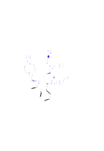 CC(C)C[C@H](NC(=O)c1ccccc1-c1csc(N2CCNCC2)n1)C(=O)N(C)CC#N